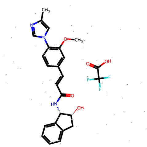 COc1cc(C=CC(=O)N[C@H]2c3ccccc3C[C@H]2O)ccc1-n1cnc(C)c1.O=C(O)C(F)(F)F